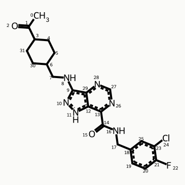 CC(=O)C1CCC(CNc2n[nH]c3c(C(=O)NCc4ccc(F)c(Cl)c4)ncnc23)CC1